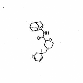 CC1(CN2CCOC(C(=O)NC3C4CC5CC(C4)CC3C5)C2)C=CC=NC1